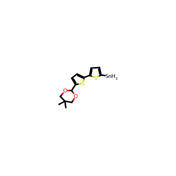 CC1(C)COC(c2ccc(-c3cc[c]([SnH3])s3)s2)OC1